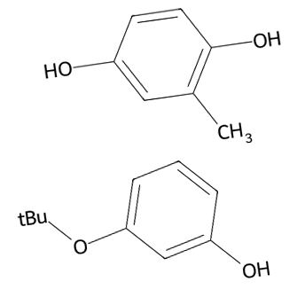 CC(C)(C)Oc1cccc(O)c1.Cc1cc(O)ccc1O